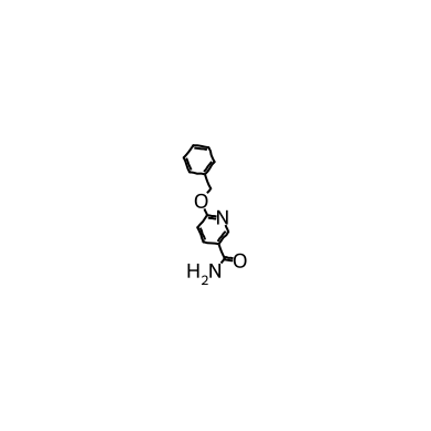 NC(=O)c1ccc(OCc2ccccc2)nc1